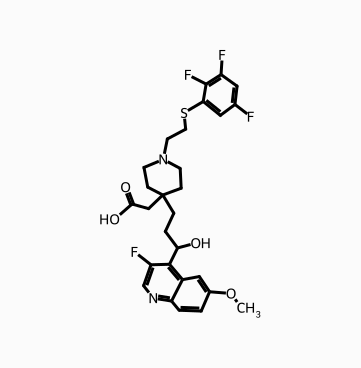 COc1ccc2ncc(F)c(C(O)CCC3(CC(=O)O)CCN(CCSc4cc(F)cc(F)c4F)CC3)c2c1